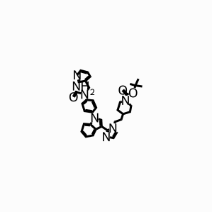 CC(C)(C)OC(=O)N1CCC(CCn2ccnc2-c2cn(-c3ccc(N(Cc4cccnc4)C(N)=O)cc3)c3ccccc23)CC1